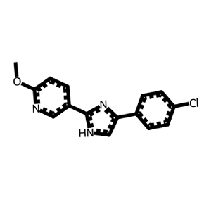 COc1ccc(-c2nc(-c3ccc(Cl)cc3)c[nH]2)cn1